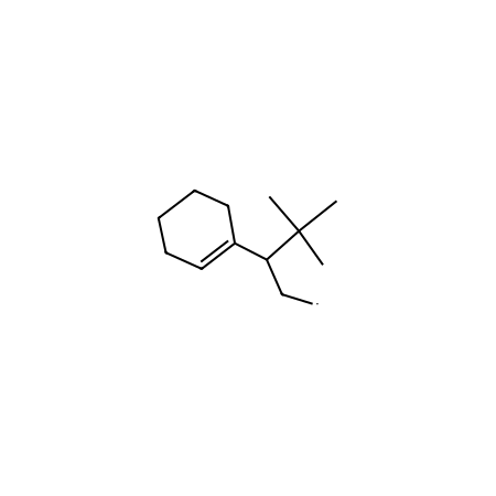 [CH2]CC(C1=CCCCC1)C(C)(C)C